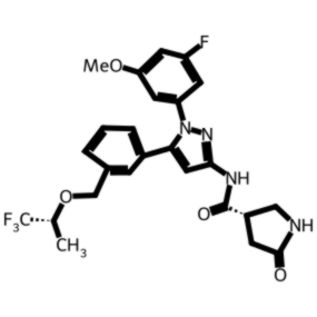 COc1cc(F)cc(-n2nc(NC(=O)[C@@H]3CNC(=O)C3)cc2-c2cccc(CO[C@H](C)C(F)(F)F)c2)c1